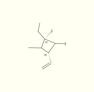 C=C[C@@H]1C(C)[C@@](I)(CC)C1I